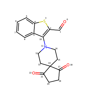 O=Cc1sc2ccccc2c1N1CCC2(CC1)C(=O)CCC2=O